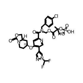 CC(C)(OP(=O)(O)O)C(=O)OCN(Cc1ccc(Cl)cc1)C(=O)c1cc(O[C@H]2CCN3C(=O)OC[C@@H]3C2)c(-c2cnn(C(F)F)c2)cn1